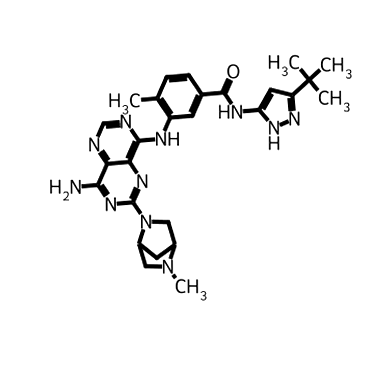 Cc1ccc(C(=O)Nc2cc(C(C)(C)C)n[nH]2)cc1Nc1ncnc2c(N)nc(N3CC4CC3CN4C)nc12